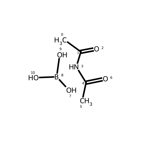 CC(=O)NC(C)=O.OB(O)O